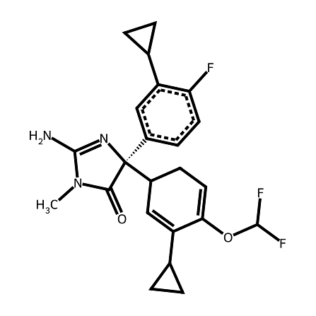 CN1C(=O)[C@](c2ccc(F)c(C3CC3)c2)(C2C=C(C3CC3)C(OC(F)F)=CC2)N=C1N